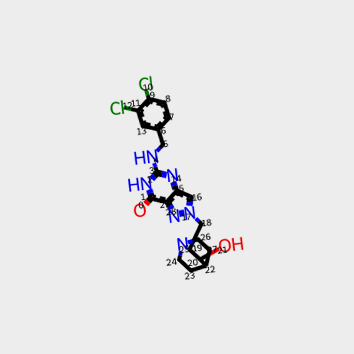 O=c1[nH]c(NCc2ccc(Cl)c(Cl)c2)nc2cn(CC3C(O)C4CCN3CC4)nc12